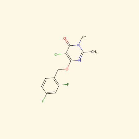 Cc1nc(OCc2ccc(F)cc2F)c(Cl)c(=O)n1C(C)C